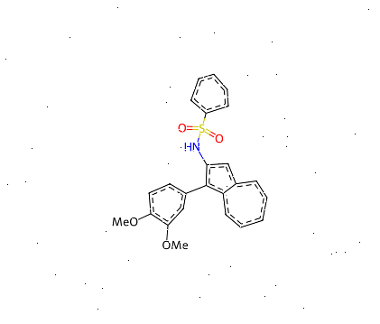 COc1ccc(-c2c(NS(=O)(=O)c3ccccc3)cc3cccccc2-3)cc1OC